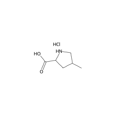 CC1CNC(C(=O)O)C1.Cl